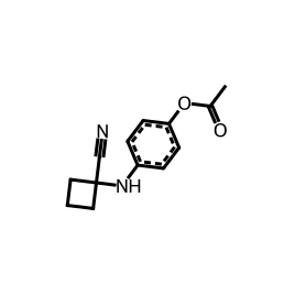 CC(=O)Oc1ccc(NC2(C#N)CCC2)cc1